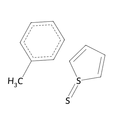 Cc1ccccc1.S=S1C=CC=C1